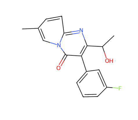 Cc1ccc2nc(C(C)O)c(-c3cccc(F)c3)c(=O)n2c1